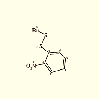 CCC(C)SSc1ccccc1[N+](=O)[O-]